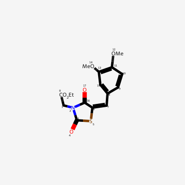 CCOC(=O)CN1C(=O)SC(=Cc2ccc(OC)c(OC)c2)C1=O